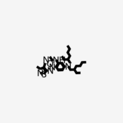 CCCCC(CC)CN(CC(CC)CCCC)c1ccc(N=Nc2snc(C)c2C#N)c(NC(C)=O)c1